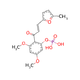 COc1cc(OC)c(C(=O)/C=C/c2ccc(C)o2)c(OP(=O)(O)O)c1